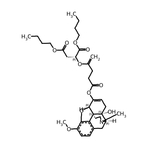 C=C(CCC(=O)OC1=CC[C@@]2(O)[C@H]3Cc4ccc(OC)c5c4[C@@]2(CCN3C)[C@H]1O5)O[C@H](CC(=O)OCCCC)C(=O)OCCCC